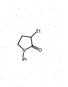 CCC1CCN(C(C)C)C1=O